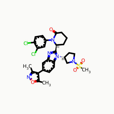 Cc1noc(C)c1-c1ccc2c(c1)nc([C@@H]1CCCC(=O)N1c1ccc(Cl)c(Cl)c1)n2[C@@H]1CCN(S(C)(=O)=O)C1